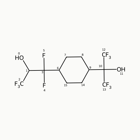 OC(C(F)(F)F)C(F)(F)C1CCC(C(O)(C(F)(F)F)C(F)(F)F)CC1